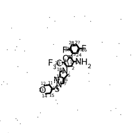 NC1CC(N2Cc3cn(SC4CCOCC4)nc3C2)C(C(F)(F)F)O[C@@H]1c1cc(F)ccc1F